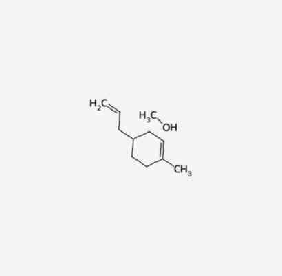 C=CCC1CC=C(C)CC1.CO